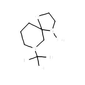 CCC(C)(C)N1CCCC2(C1)OCCN2C(C)(C)C